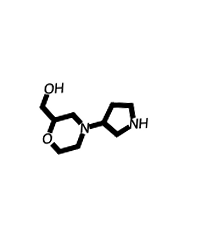 OCC1CN(C2CCNC2)CCO1